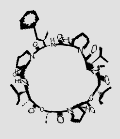 CC(C)[C@@H]1OC(=O)[C@@H]2CCCN2C(=O)[C@H](C)OC(=O)[C@H](C)[C@@H](C(C)C)NC(=O)[C@@H]2CCCN2C(=O)[C@H]([C@H](C)Cc2ccccc2)NC(=O)[C@@H]2CCCN2C(=O)[C@@H](C(C)C)N(C)C1=O